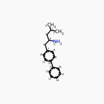 CC(C)CC(N)Cc1ccc(-c2ccccc2)cc1